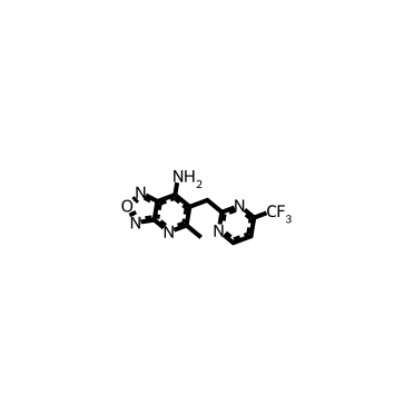 Cc1nc2nonc2c(N)c1Cc1nccc(C(F)(F)F)n1